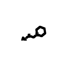 CC(=O)SCN1CCCCC1